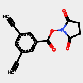 C#Cc1cc(C#C)cc(C(=O)ON2C(=O)CCC2=O)c1